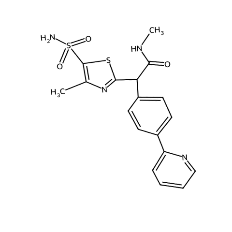 CNC(=O)C(c1ccc(-c2ccccn2)cc1)c1nc(C)c(S(N)(=O)=O)s1